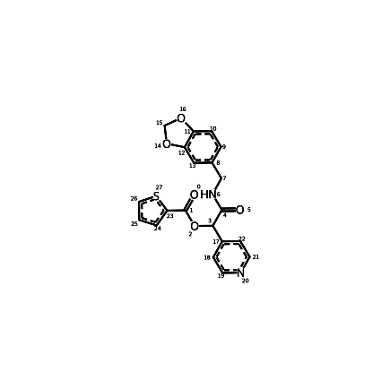 O=C(OC(C(=O)NCc1ccc2c(c1)OCO2)c1ccncc1)c1cccs1